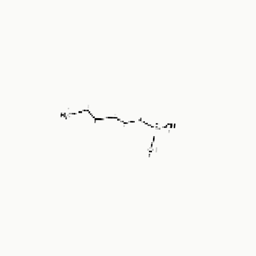 CCCCCCP(O)O